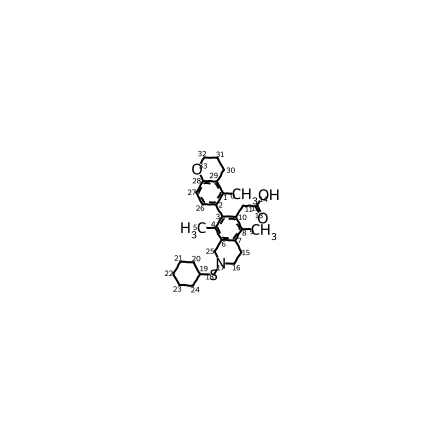 Cc1c(-c2c(C)c3c(c(C)c2CC(=O)O)CCN(SC2CCCCC2)C3)ccc2c1CCCO2